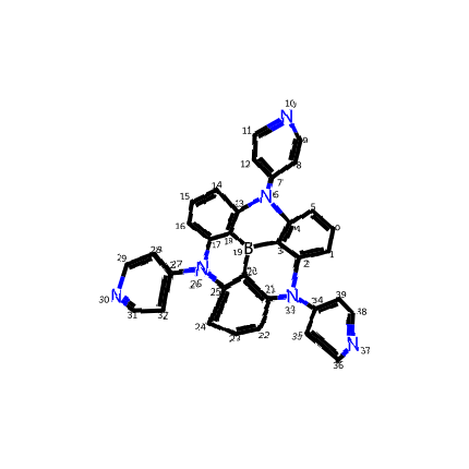 c1cc2c3c(c1)N(c1ccncc1)c1cccc4c1B3c1c(cccc1N4c1ccncc1)N2c1ccncc1